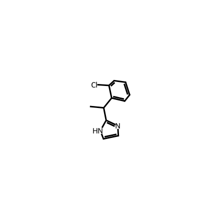 CC(c1ncc[nH]1)c1ccccc1Cl